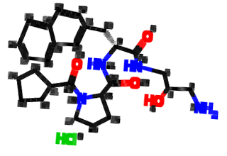 Cl.NCC(O)CNC(=O)[C@@H](Cc1ccc2ccccc2c1)NC(=O)C1CCCN1C(=O)C1CCCC1